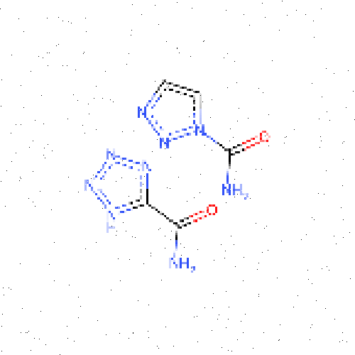 NC(=O)c1nnn[nH]1.NC(=O)n1ccnn1